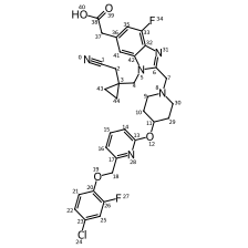 N#CCC1(Cn2c(CN3CCC(Oc4cccc(COc5ccc(Cl)cc5F)n4)CC3)nc3c(F)cc(CC(=O)O)cc32)CC1